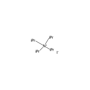 CC(C)[N+](C(C)C)(C(C)C)C(C)C.[I-]